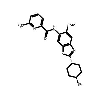 COc1cc2nc([C@H]3CC[C@H](C(C)C)CC3)sc2cc1NC(=O)c1cccc(C(F)(F)F)n1